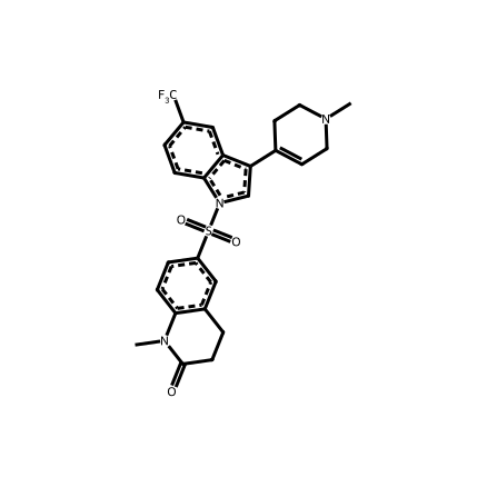 CN1CC=C(c2cn(S(=O)(=O)c3ccc4c(c3)CCC(=O)N4C)c3ccc(C(F)(F)F)cc23)CC1